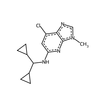 Cn1cnc2c(Cl)cc(NC(C3CC3)C3CC3)nc21